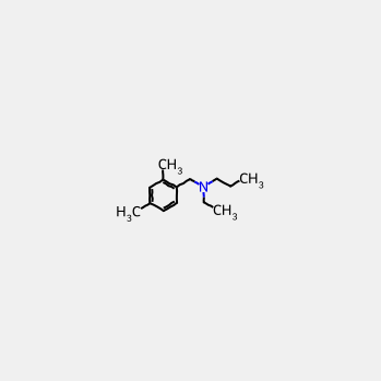 CCCN(CC)Cc1ccc(C)cc1C